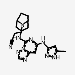 Cc1cc(Nc2cc3ncnn3c(NC3CC4CCC(C3)N4CCC#N)n2)n[nH]1